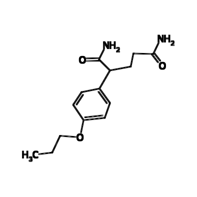 CCCOc1ccc(C(CCC(N)=O)C(N)=O)cc1